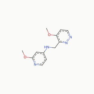 COc1cc(NCc2nnccc2OC)ccn1